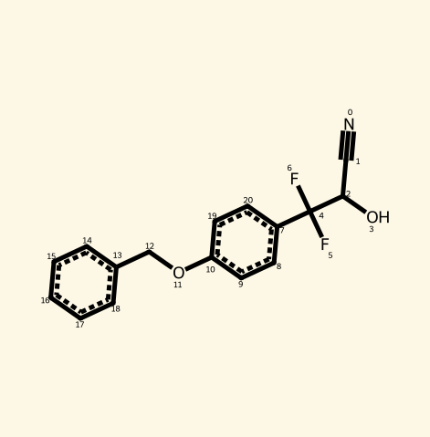 N#CC(O)C(F)(F)c1ccc(OCc2ccccc2)cc1